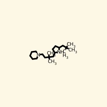 CC(C)(C)CC1CCC(CC(C)(C)CCN2CCCCC2)N1